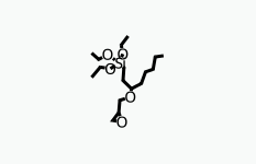 CCCCCC(CC[Si](OCC)(OCC)OCC)OCC1CO1